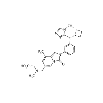 CN(CC(=O)O)Cc1cc(C(F)(F)F)c2cn(-c3cccc([C@H](c4nncn4C)C4CCC4)c3)c(=O)n2c1